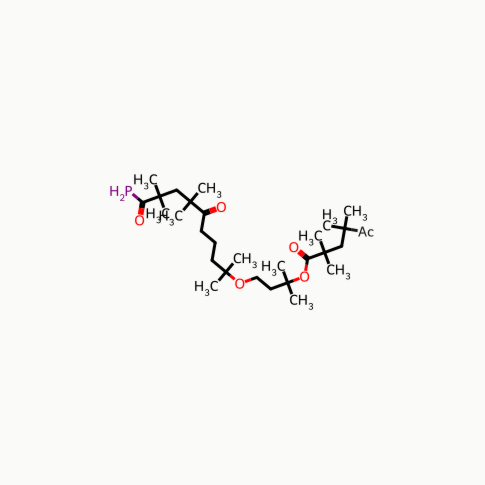 CC(=O)C(C)(C)CC(C)(C)C(=O)OC(C)(C)CCOC(C)(C)CCCC(=O)C(C)(C)CC(C)(C)C(=O)P